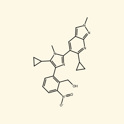 Cn1cc2cc(-c3nc(-c4cccc([N+](=O)[O-])c4CO)c(C4CC4)n3C)c(C3CC3)nc2n1